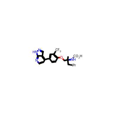 CC(C)CC(C)(COc1ccc(-c2ccnc3[nH]ncc23)cc1C(F)(F)F)NC(=O)O